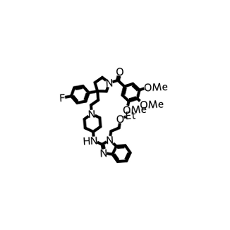 CCOCCn1c(NC2CCN(CCC3(c4ccc(F)cc4)CCN(C(=O)c4cc(OC)c(OC)c(OC)c4)C3)CC2)nc2ccccc21